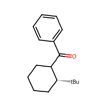 CC(C)(C)[C@@H]1CCCCC1C(=O)c1ccccc1